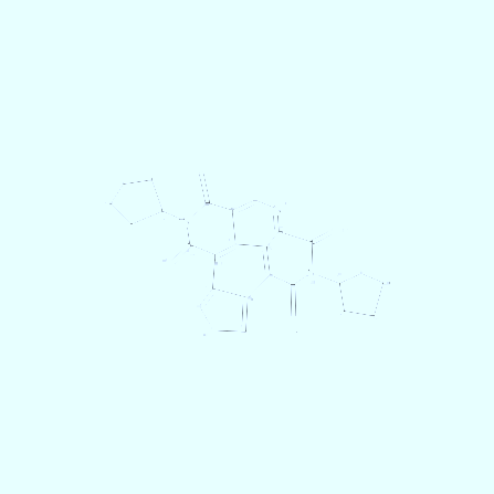 O=C1c2cnc3c4c(c5cscc5c(c24)C(=O)N1C1CCCC1)C(=O)N(C1CCCC1)C3=O